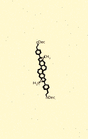 CCCCCCCCCCCCc1ccc(-c2cc3cc4c(ccc5c6cc7cc(-c8ccc(CCCCCCCCCCCC)cc8)n(C)c7cc6ccc45)cc3n2C)cc1